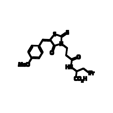 COc1ccc(/C=C2/SC(=S)N(CCC(=O)NC(CC(C)C)C(=O)O)C2=O)cc1